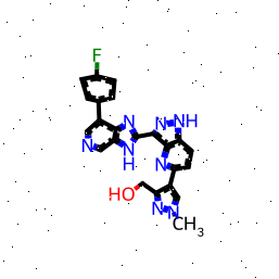 Cn1cc(-c2ccc3[nH]nc(-c4nc5c(-c6ccc(F)cc6)cncc5[nH]4)c3n2)c(CO)n1